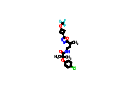 C=C(CCNC(=O)C(C)(C)Oc1ccc(Cl)cc1)c1nnc([C@H]2C[C@@H](OC(F)(F)F)C2)o1